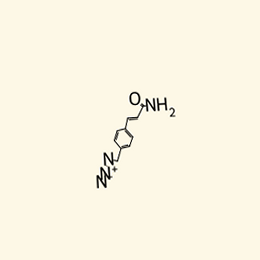 [N-]=[N+]=NCc1ccc(C=CC(N)=O)cc1